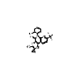 O=c1c(F)c(NC2(CO)CC2)c2ccc(C(F)(F)F)nc2n1-c1ccccc1Cl